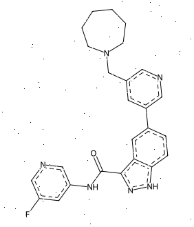 O=C(Nc1cncc(F)c1)c1n[nH]c2ccc(-c3cncc(CN4CCCCCC4)c3)cc12